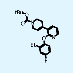 CCc1cc(F)ccc1Oc1ncccc1C1=CCN(C(=O)OC(C)(C)C)CC1